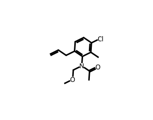 C=CCc1ccc(Cl)c(C)c1N(COC)C(C)=O